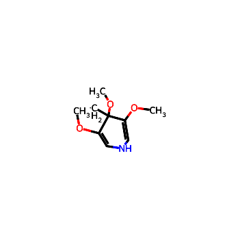 [CH2]C1(OC)C(OC)=CNC=C1OC